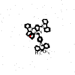 CC1(C)c2ccccc2N(c2ccc(-c3nc4c(-n5c6ccccc6c6ccccc65)ccc(-n5c6ccccc6c6ccccc65)c4n3-c3ccccc3)cc2)c2ccccc21